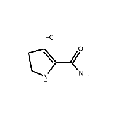 Cl.NC(=O)C1=CCCN1